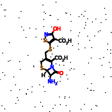 NC1C(=O)N2C(C(=O)O)=C(CSc3snc(O)c3C(=O)O)CS[C@H]12